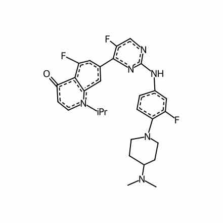 CC(C)n1ccc(=O)c2c(F)cc(-c3nc(Nc4ccc(N5CCC(N(C)C)CC5)c(F)c4)ncc3F)cc21